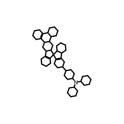 C1CCC(N(C2CCCCC2)C2CCC(C3CCC4=C(C3)C3CCCCC3C43C4=C(CCCC4)C4CC5C6=C(CCCC6)C6CCCCC6C5CC43)CC2)CC1